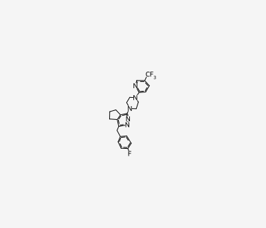 Fc1ccc(Cc2nnc(N3CCN(c4ccc(C(F)(F)F)cn4)CC3)c3c2CCC3)cc1